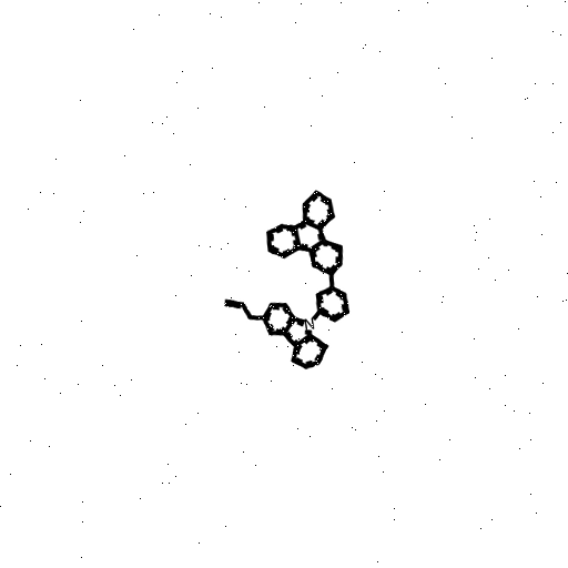 C=CCc1ccc2c(c1)c1ccccc1n2-c1cccc(-c2ccc3c4ccccc4c4ccccc4c3c2)c1